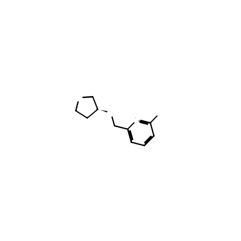 CCc1cccc(CO[C@H]2CCOC2)n1